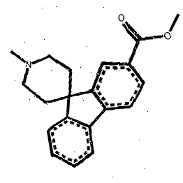 COC(=O)c1ccc2c(c1)C1(CCN(C)CC1)c1ccccc1-2